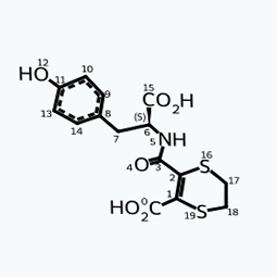 O=C(O)C1=C(C(=O)N[C@@H](Cc2ccc(O)cc2)C(=O)O)SCCS1